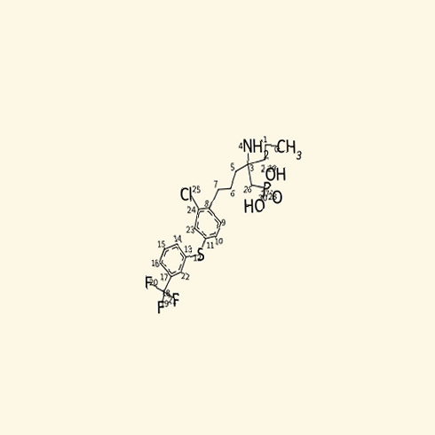 CCCC(N)(CCCc1ccc(Sc2cccc(C(F)(F)F)c2)cc1Cl)CP(=O)(O)O